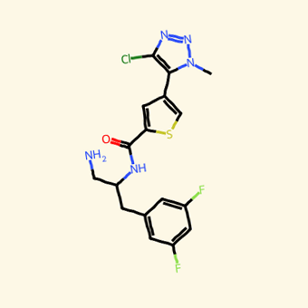 Cn1nnc(Cl)c1-c1csc(C(=O)NC(CN)Cc2cc(F)cc(F)c2)c1